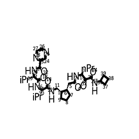 CCCC(NC(=O)C[C@H]1CCC[C@H]1CNC(=O)[C@@H](NC(=O)[C@H](NC(=O)c1cnccn1)C(C)C)C(C)C)C(=O)C(=O)NC1CCC1